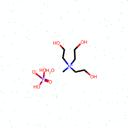 C[N+](CCO)(CCO)CCO.O.O=P([O-])(O)O